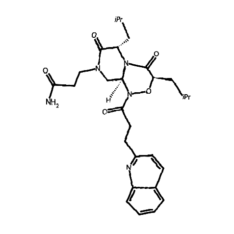 CC(C)C[C@H]1ON(C(=O)CCc2ccc3ccccc3n2)[C@H]2CN(CCC(N)=O)C(=O)[C@H](CC(C)C)N2C1=O